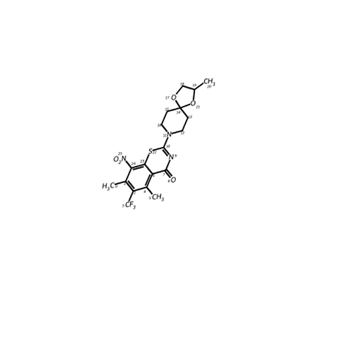 Cc1c(C(F)(F)F)c(C)c2c(=O)nc(N3CCC4(CC3)OCC(C)O4)sc2c1[N+](=O)[O-]